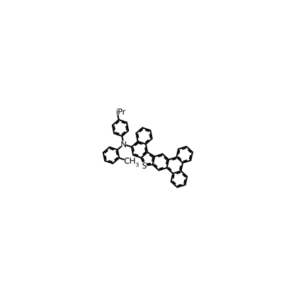 Cc1ccccc1N(c1ccc(C(C)C)cc1)c1cc2sc3cc4c5ccccc5c5ccccc5c4cc3c2c2ccccc12